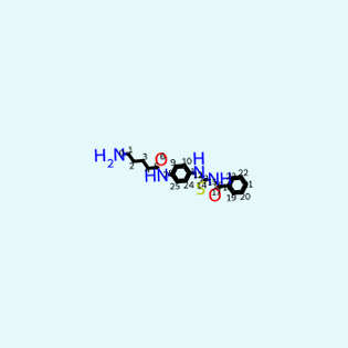 NCCCCC(=O)Nc1ccc(NC(=S)NC(=O)c2ccccc2)cc1